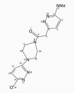 CNc1ccc(CC(=O)N2CCN(c3ccc(Cl)nn3)CC2)nn1